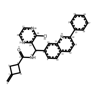 C=C1CC(C(=O)NC(c2ccc3ccc(-c4ccccc4)nc3c2)c2nccnc2Cl)C1